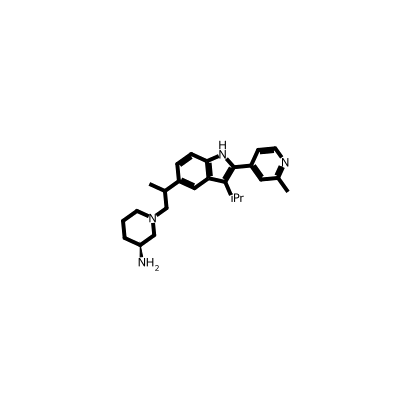 Cc1cc(-c2[nH]c3ccc(C(C)CN4CCC[C@H](N)C4)cc3c2C(C)C)ccn1